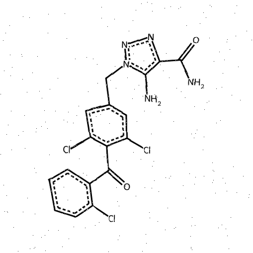 NC(=O)c1nnn(Cc2cc(Cl)c(C(=O)c3ccccc3Cl)c(Cl)c2)c1N